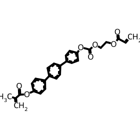 C=CC(=O)OCCOC(=O)Oc1ccc(-c2ccc(-c3ccc(OC(=O)C(=C)C)cc3)cc2)cc1